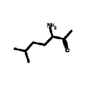 CC(=O)C(N)CCC(C)C